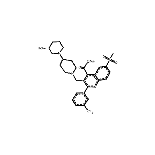 COC(=O)c1c(CN2CCC(N3CCC[C@@H](O)C3)CC2)c(-c2cccc(C(F)(F)F)c2)nc2ccc(S(C)(=O)=O)cc12